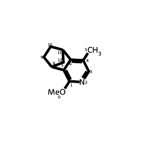 COc1ncc(C)c2c1C1CCC2C1